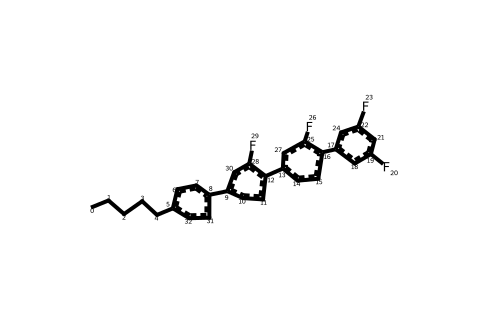 CCCCCc1ccc(-c2ccc(-c3ccc(-c4cc(F)cc(F)c4)c(F)c3)c(F)c2)cc1